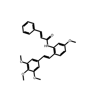 COc1ccc(C=Cc2cc(OC)c(OC)c(OC)c2)c(NC(=O)C=Cc2ccccc2)c1